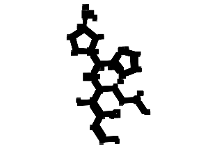 C/C=C\C(Cl)=C(/C)C(CCOC)NC(c1nccs1)N1CC[C@H](N)C1